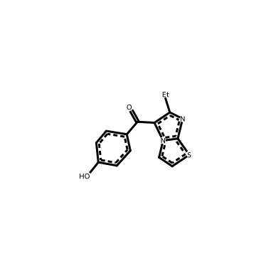 CCc1nc2sccn2c1C(=O)c1ccc(O)cc1